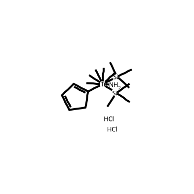 C[Si](C)(C)[Ti]([CH3])([CH3])([CH3])([CH3])([CH3])([NH2])([C]1=CC=CC1)[Si](C)(C)C.Cl.Cl